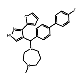 CN1CCCN(C(c2ccc(-c3ccc(F)cc3)cc2)c2c[nH]nc2-c2ccco2)CC1